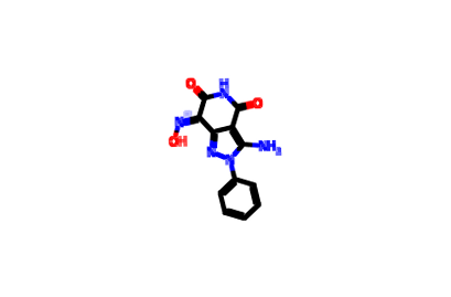 Nc1c2c(nn1-c1ccccc1)/C(=N\O)C(=O)NC2=O